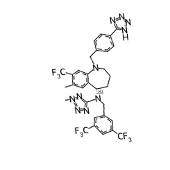 Cc1cc2c(cc1C(F)(F)F)N(Cc1ccc(-c3nnn[nH]3)cc1)CCC[C@@H]2N(Cc1cc(C(F)(F)F)cc(C(F)(F)F)c1)c1nnn(C)n1